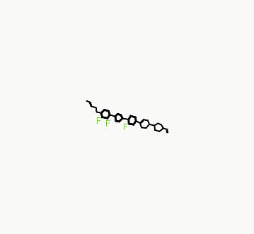 C=CC1CCC(C2CC=C(c3ccc(-c4ccc(-c5ccc(CC/C=C/C)c(F)c5F)cc4)c(F)c3)CC2)CC1